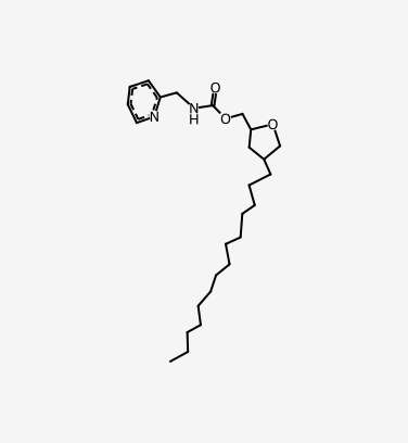 CCCCCCCCCCCCCCC1COC(COC(=O)NCc2ccccn2)C1